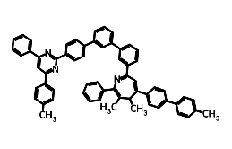 CC1=C(c2ccccc2)N=C(c2cccc(-c3cccc(-c4ccc(-c5nc(-c6ccccc6)cc(-c6ccc(C)cc6)n5)cc4)c3)c2)C=C(c2ccc(-c3ccc(C)cc3)cc2)C1C